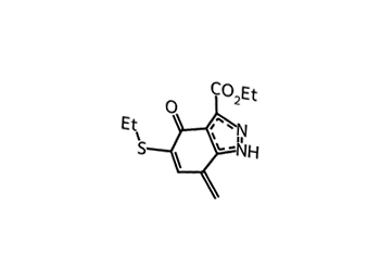 C=C1C=C(SCC)C(=O)c2c(C(=O)OCC)n[nH]c21